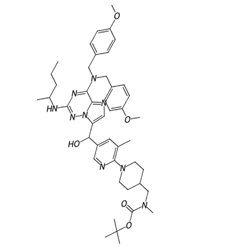 CCCC(C)Nc1nc(N(Cc2ccc(OC)cc2)Cc2ccc(OC)cc2)c2ncc(C(O)c3cnc(N4CCC(CN(C)C(=O)OC(C)(C)C)CC4)c(C)c3)n2n1